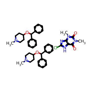 CN1CCC(OC(c2ccccc2)c2ccccc2)CC1.CN1CCC(OC(c2ccccc2)c2ccccc2)CC1.Cn1c(=O)c2[nH]c(Cl)nc2n(C)c1=O